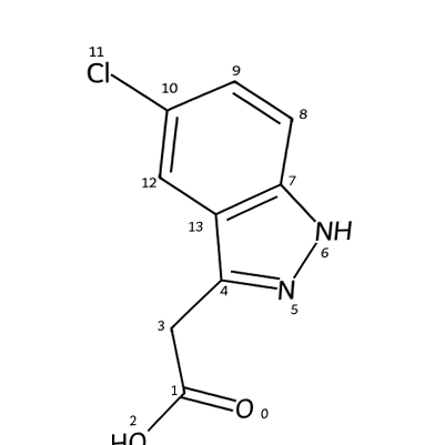 O=C(O)Cc1n[nH]c2ccc(Cl)cc12